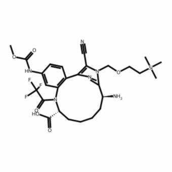 COC(=O)Nc1ccc2c(c1)N(C(=O)C(F)(F)F)[C@@H](C(=O)O)CCCC[C@H](N)c1nc-2c(C#N)n1COCC[Si](C)(C)C